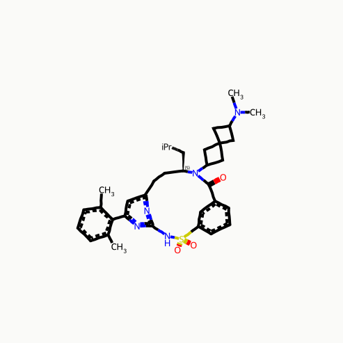 Cc1cccc(C)c1-c1cc2nc(n1)NS(=O)(=O)c1cccc(c1)C(=O)N(C1CC3(CC(N(C)C)C3)C1)[C@H](CC(C)C)CC2